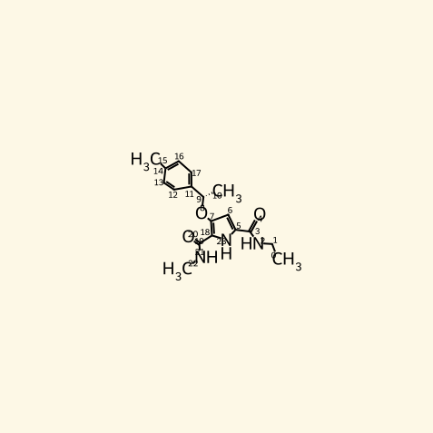 CCNC(=O)c1cc(O[C@@H](C)c2ccc(C)cc2)c(C(=O)NC)[nH]1